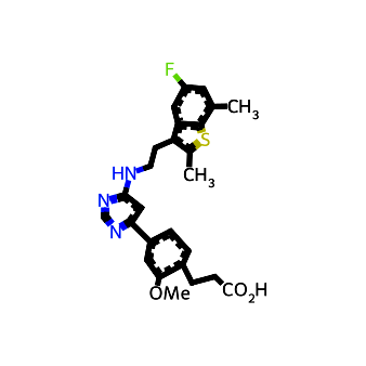 COc1cc(-c2cc(NCCc3c(C)sc4c(C)cc(F)cc34)ncn2)ccc1CCC(=O)O